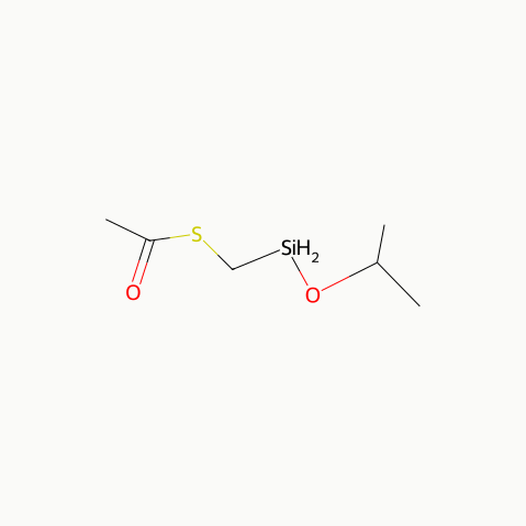 CC(=O)SC[SiH2]OC(C)C